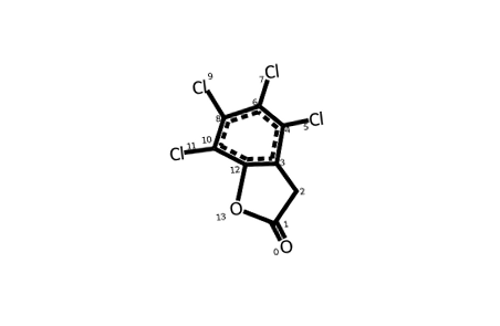 O=C1Cc2c(Cl)c(Cl)c(Cl)c(Cl)c2O1